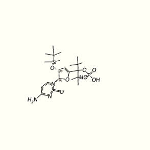 CC(C)(C)C(OP(=O)(O)O)(C1=C[C@@H](O[Si](C)(C)C(C)(C)C)[C@H](n2ccc(N)nc2=O)O1)C(C)(C)C